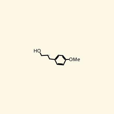 COc1ccc(C[CH]CO)cc1